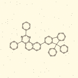 c1ccc(-c2nc(-c3ccccc3)c3ccc4ccc(-c5ccc6c(c5)C(c5ccccc5)(c5ccccc5)c5ccccc5-6)cc4c3n2)cc1